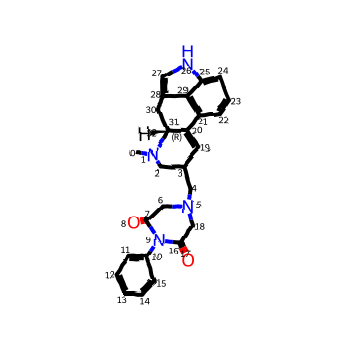 CN1CC(CN2CC(=O)N(c3ccccc3)C(=O)C2)C=C2c3cccc4[nH]cc(c34)C[C@H]21